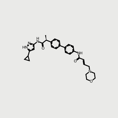 C[C@H](C(=O)Nc1cc(C2CC2)[nH]n1)c1ccc(-c2ccc(NC(=O)/C=C/CN3CCOCC3)cc2)cc1